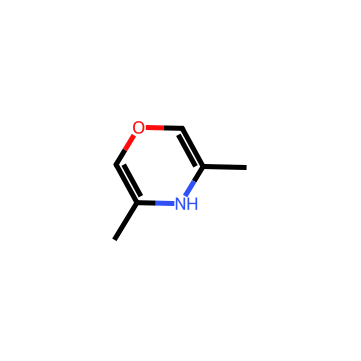 CC1=COC=C(C)N1